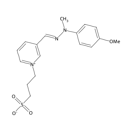 COc1ccc(N(C)/N=C/c2ccc[n+](CCCS(=O)(=O)[O-])c2)cc1